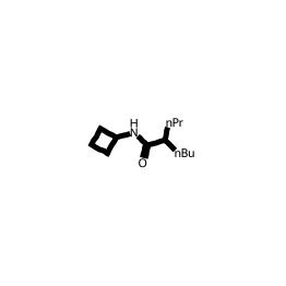 CCCCC(CCC)C(=O)NC1CCC1